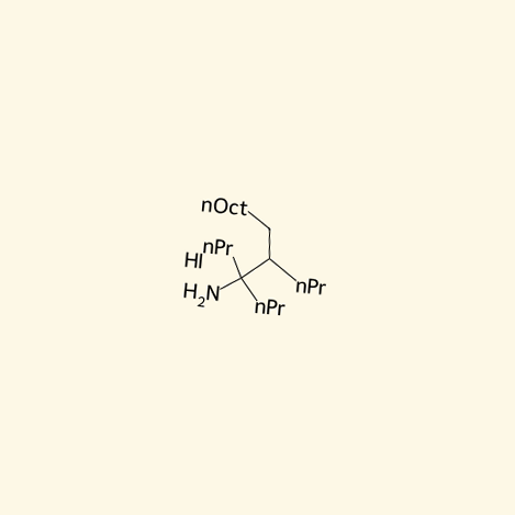 CCCCCCCCCC(CCC)C(N)(CCC)CCC.I